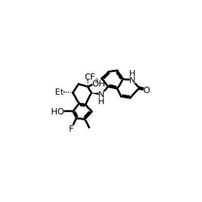 CC[C@@H]1C[C@](O)(C(F)(F)F)[C@@H](Nc2cccc3[nH]c(=O)ccc23)c2cc(C)c(F)c(O)c21